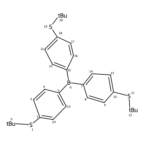 CC(C)(C)Sc1ccc(B(c2ccc(SC(C)(C)C)cc2)c2ccc(SC(C)(C)C)cc2)cc1